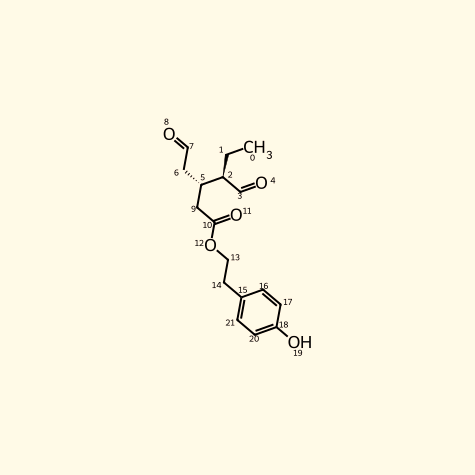 CC[C@@H](C=O)[C@@H](CC=O)CC(=O)OCCc1ccc(O)cc1